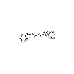 CO[Si](C)(C)CCCSSSc1nc2ccccc2s1